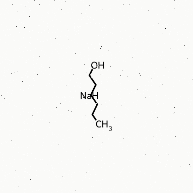 CCCCCCO.[NaH]